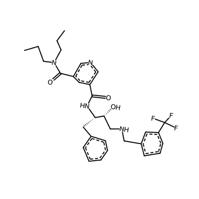 CCCN(CCC)C(=O)c1cncc(C(=O)N[C@@H](Cc2ccccc2)[C@H](O)CNCc2cccc(C(F)(F)F)c2)c1